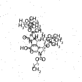 C=CCOC(=O)N1CC(CO[Si](C)(C)C(C)(C)C)C(C2=C(C(=O)O)N3C(=O)[C@H]([C@@H](C)O[Si](C)(C)C(C)(C)C)[C@H]3C2)C1